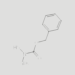 CCCCN(S)C(=O)OCc1ccccc1